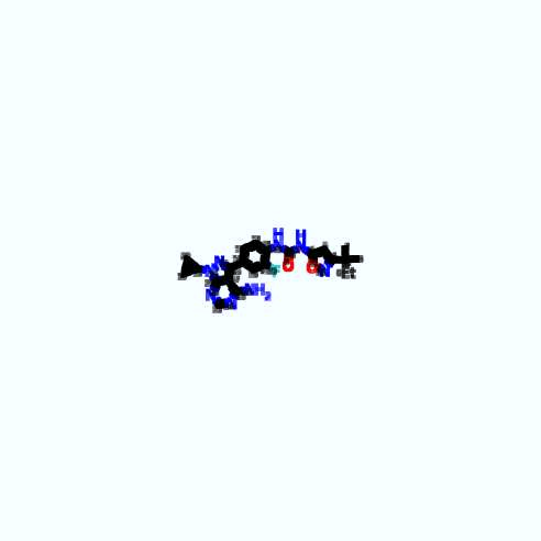 CCC(C)(C)c1cc(NC(=O)Nc2ccc(-c3nn(C4CC4)c4ncnc(N)c34)cc2F)on1